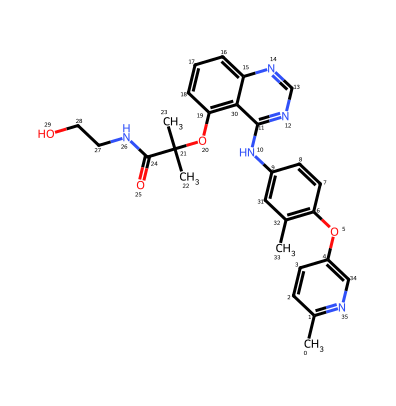 Cc1ccc(Oc2ccc(Nc3ncnc4cccc(OC(C)(C)C(=O)NCCO)c34)cc2C)cn1